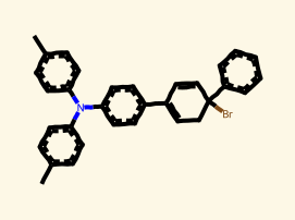 Cc1ccc(N(c2ccc(C)cc2)c2ccc(C3=CCC(Br)(c4ccccc4)C=C3)cc2)cc1